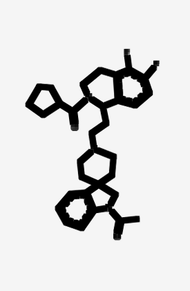 CC(=O)N1CC2(CCN(CCC3c4ccc(F)c(F)c4CCN3C(=O)C3CCCC3)CC2)c2ccccc21